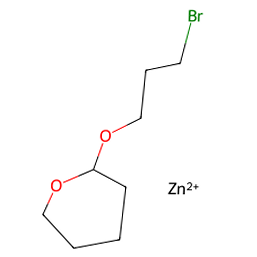 BrCCCOC1CCCCO1.[Zn+2]